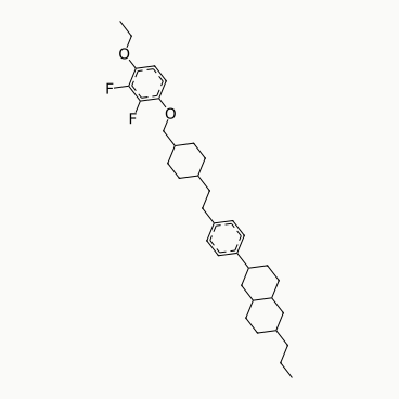 CCCC1CCC2CC(c3ccc(CCC4CCC(COc5ccc(OCC)c(F)c5F)CC4)cc3)CCC2C1